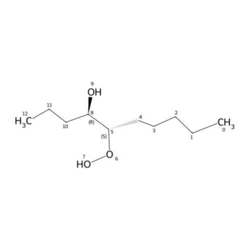 CCCCC[C@H](OO)[C@H](O)CCC